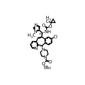 Cn1cncc1[C@H](NC(=O)OC1(C)CC1)C1=Cc2cccnc2[C@@H](N2CCN(C(=O)OC(C)(C)C)CC2)c2ccc(Cl)cc21